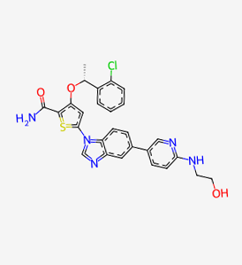 C[C@@H](Oc1cc(-n2cnc3cc(-c4ccc(NCCO)nc4)ccc32)sc1C(N)=O)c1ccccc1Cl